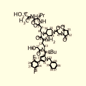 CC(C)[C@H](NC(=O)CCN(C(=O)[C@@H](N)CCN(C(=O)CO)[C@@H](c1cc(-c2cc(F)ccc2F)cn1Cc1ccccc1)C(C)(C)C)C1CCN(C(=O)CN2C(=O)C=CC2=O)CC1)C(=O)N[C@@H](C)C(=O)O